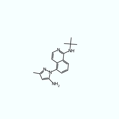 Cc1cc(N)n(-c2cccc3c(NC(C)(C)C)nccc23)n1